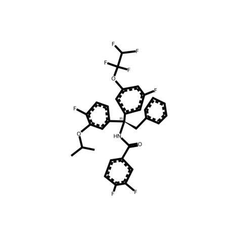 CC(C)Oc1cc([C@@](Cc2ccccc2)(NC(=O)c2ccc(F)c(F)c2)c2cc(F)cc(OC(F)(F)C(F)F)c2)ccc1F